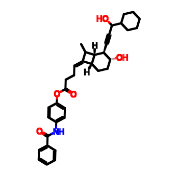 CC1/C(=C/CCC(=O)Oc2ccc(NC(=O)c3ccccc3)cc2)[C@H]2CC[C@@H](O)[C@H](C#CC(O)C3CCCCC3)[C@@H]12